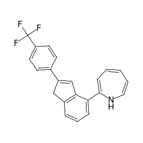 FC(F)(F)c1ccc(C2=Cc3c(cccc3C3=CC=CC=CN3)C2)cc1